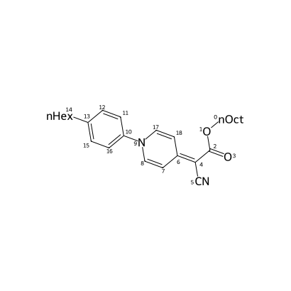 CCCCCCCCOC(=O)C(C#N)=C1C=CN(c2ccc(CCCCCC)cc2)C=C1